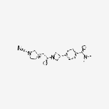 CN(C)C(=O)c1ccc(C2CN(C(=O)C[C@H]3CCN(C#N)C3)C2)cc1